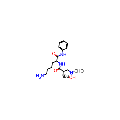 CCCC[C@H](CN(O)C=O)C(=O)NC(CCCCN)C(=O)Nc1ccccc1